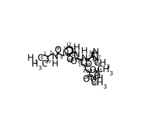 CCC(CC)CNC(=O)Cn1cccc(NC(=O)[C@H](CCCC(OC(C)=O)C(=O)NC)NC(=O)c2cncn2C)c1=O